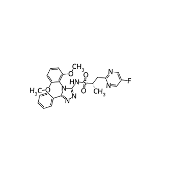 COc1cccc(OC)c1-n1c(NS(=O)(=O)[C@@H](C)Cc2ncc(F)cn2)nnc1-c1ccccc1